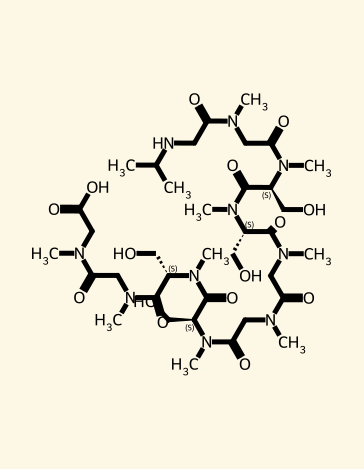 CC(C)NCC(=O)N(C)CC(=O)N(C)[C@@H](CO)C(=O)N(C)[C@@H](CO)C(=O)N(C)CC(=O)N(C)CC(=O)N(C)[C@@H](CO)C(=O)N(C)[C@@H](CO)C(=O)N(C)CC(=O)N(C)CC(=O)O